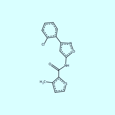 Cc1ccsc1C(=O)Nc1cc(-c2ccccc2Cl)no1